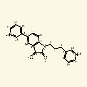 O=C1C(=O)N(CCCc2cccnc2)c2ccc(-c3cccnc3)cc21